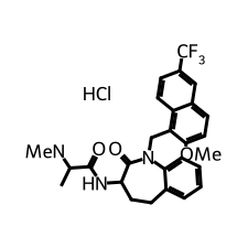 CNC(C)C(=O)NC1CCc2ccccc2N(Cc2c(OC)ccc3cc(C(F)(F)F)ccc23)C1=O.Cl